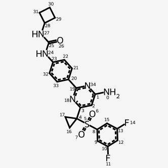 Nc1cc(C2(S(=O)(=O)c3cc(F)cc(F)c3)CC2)nc(-c2ccc(NC(=O)NC3CCC3)cc2)n1